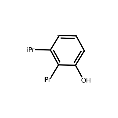 CC(C)c1[c]ccc(O)c1C(C)C